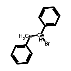 [Br][GeH]([GeH2][c]1ccccc1)[c]1ccccc1